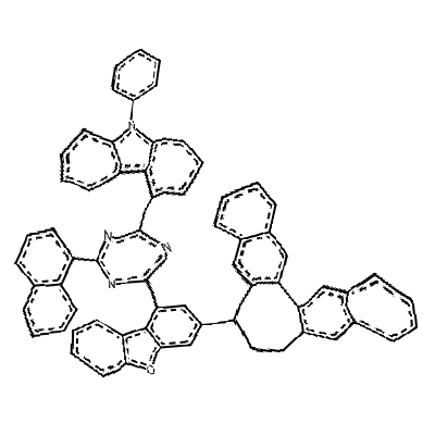 c1ccc(-n2c3ccccc3c3c(-c4nc(-c5cccc6ccccc56)nc(-c5cc(C6CCc7cc8ccccc8cc7-c7cc8ccccc8cc76)cc6oc7ccccc7c56)n4)cccc32)cc1